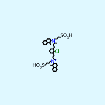 C/C(CCC1=C(Cl)C(CCC(C)N(CCCCS(=O)(=O)O)c2ccc3ccccc3c2C)CCC1)=[N+](/CCCCS(=O)(=O)O)c1ccc2ccccc2c1C